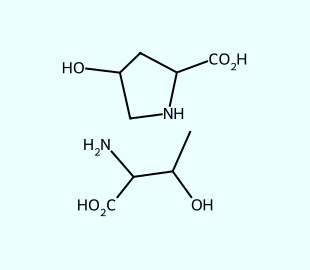 CC(O)C(N)C(=O)O.O=C(O)C1CC(O)CN1